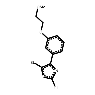 CCc1sc(Cl)nc1-c1cccc(OCCOC)c1